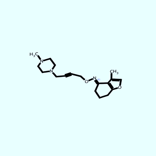 Cc1coc2c1/C(=N/OCC#CCN1CCN(C)CC1)CCC2